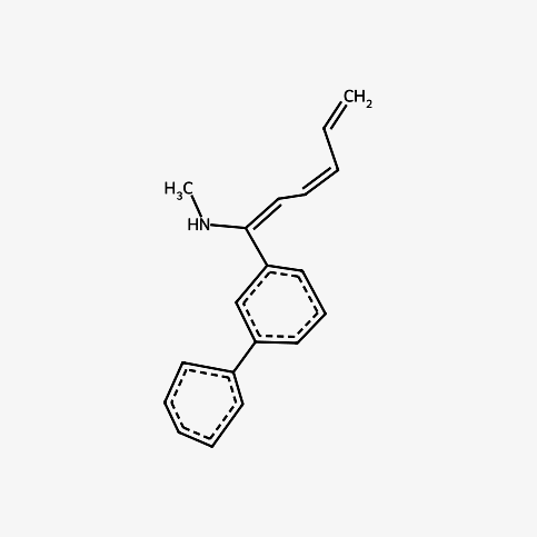 C=C/C=C\C=C(\NC)c1cccc(-c2ccccc2)c1